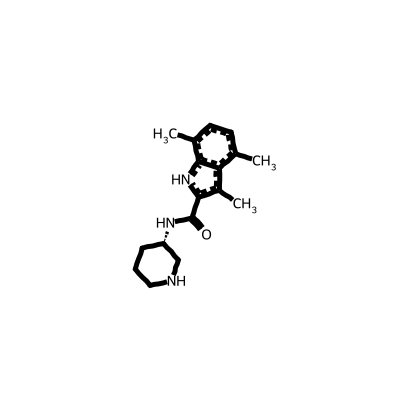 Cc1ccc(C)c2c(C)c(C(=O)N[C@H]3CCCNC3)[nH]c12